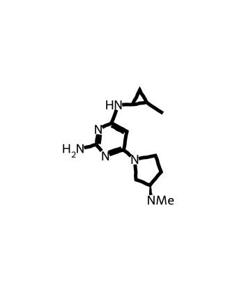 CN[C@@H]1CCN(c2cc(NC3CC3C)nc(N)n2)C1